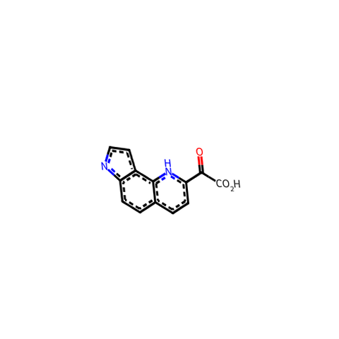 O=C(O)C(=O)c1ccc2ccc3nccc3c2[nH]1